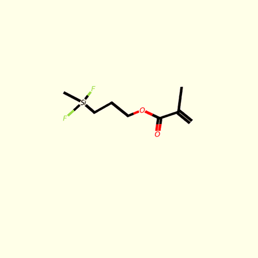 C=C(C)C(=O)OCCC[Si](C)(F)F